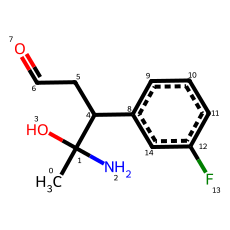 CC(N)(O)C(CC=O)c1cccc(F)c1